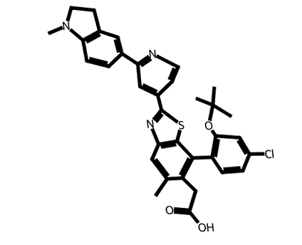 Cc1cc2nc(-c3ccnc(-c4ccc5c(c4)CCN5C)c3)sc2c(-c2ccc(Cl)cc2OC(C)(C)C)c1CC(=O)O